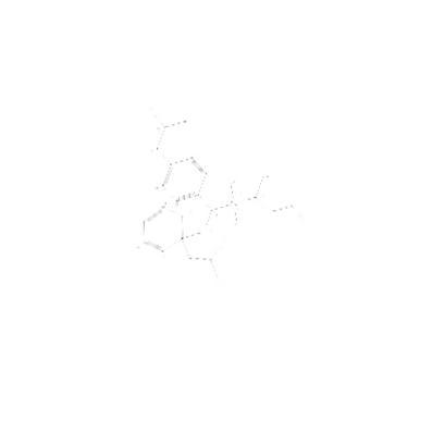 CCOC(C)[N+](C)(C)C(OC1(CC(C)C)C=CC=CC1)c1ccc(CC(C)C)cc1